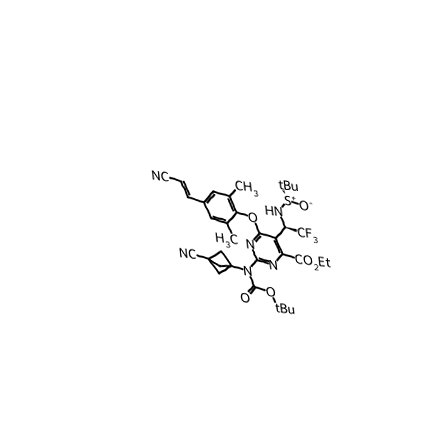 CCOC(=O)c1nc(N(C(=O)OC(C)(C)C)C23CC(C#N)(C2)C3)nc(Oc2c(C)cc(/C=C/C#N)cc2C)c1[C@@H](N[S@@+]([O-])C(C)(C)C)C(F)(F)F